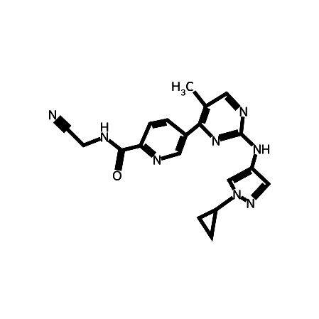 Cc1cnc(Nc2cnn(C3CC3)c2)nc1-c1ccc(C(=O)NCC#N)nc1